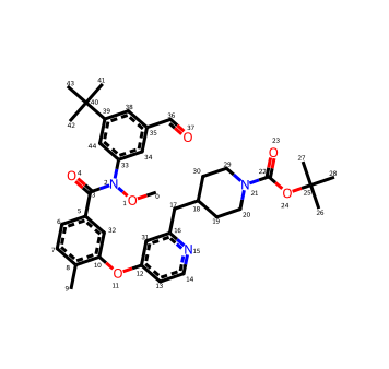 CON(C(=O)c1ccc(C)c(Oc2ccnc(CC3CCN(C(=O)OC(C)(C)C)CC3)c2)c1)c1cc(C=O)cc(C(C)(C)C)c1